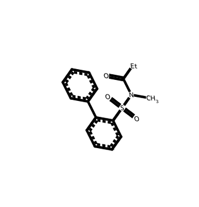 CCC(=O)N(C)S(=O)(=O)c1c[c]ccc1-c1ccccc1